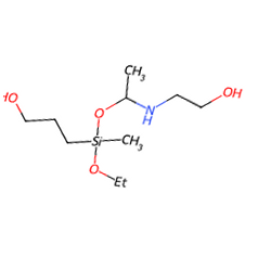 CCO[Si](C)(CCCO)OC(C)NCCO